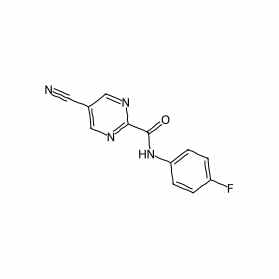 N#Cc1cnc(C(=O)Nc2ccc(F)cc2)nc1